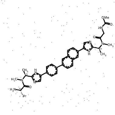 COC(=O)NCC(=O)N(C)[C@@H](C)c1ncc(-c2ccc3cc(-c4ccc(-c5cnc([C@H](C)N(C)C(=O)[C@@H](N)C(C)C)[nH]5)cc4)ccc3c2)[nH]1